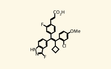 COc1ccc(C(=C(c2ccc(C=CC(=O)O)c(F)c2)c2ccc3[nH]nc(F)c3c2)C2CCC2)c(Cl)c1